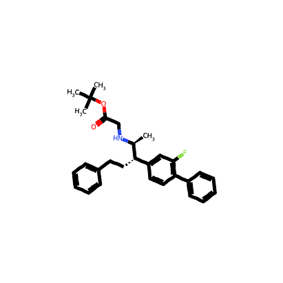 C[C@H](NCC(=O)OC(C)(C)C)[C@@H](CCc1ccccc1)c1ccc(-c2ccccc2)c(F)c1